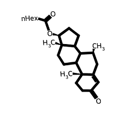 CCCCCCC(=O)O[C@H]1CCC2C3C(CC[C@@]21C)[C@@]1(C)CCC(=O)C=C1C[C@@H]3C